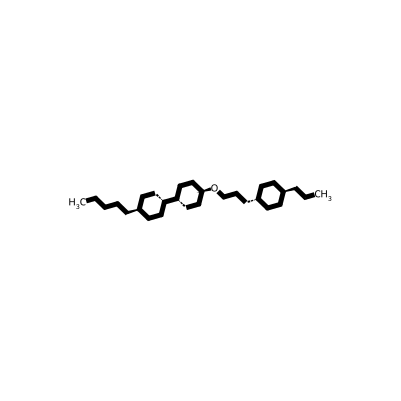 CCCCC[C@H]1CC[C@H]([C@H]2CC[C@H](OCCC[C@H]3CC[C@H](CCC)CC3)CC2)CC1